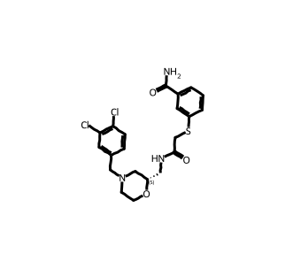 NC(=O)c1cccc(SCC(=O)NC[C@H]2CN(Cc3ccc(Cl)c(Cl)c3)CCO2)c1